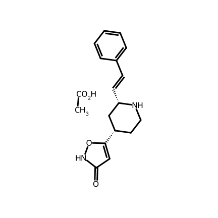 CC(=O)O.O=c1cc([C@H]2CCN[C@@H](C=Cc3ccccc3)C2)o[nH]1